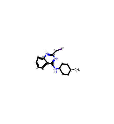 C[C@H]1CC[C@@H](Nc2nc(CI)nc3ccccc23)CC1